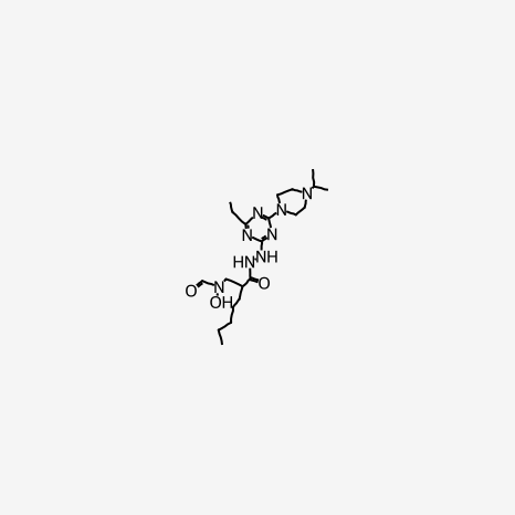 CCCCCC(CN(O)C=O)C(=O)NNc1nc(CC)nc(N2CCN(C(C)C)CC2)n1